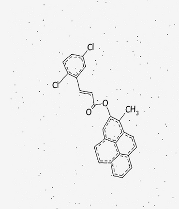 Cc1c(OC(=O)C=Cc2cc(Cl)ccc2Cl)cc2ccc3cccc4ccc1c2c34